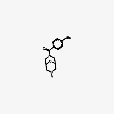 CN1CC2CN(C(=O)c3ccc(C(C)(C)C)cc3)CC(C1)O2